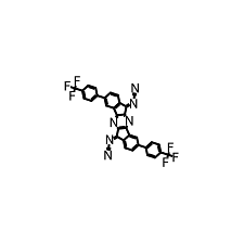 N#C/N=c1\c2ccc(-c3ccc(C(F)(F)F)cc3)cc2c2nc3/c(=N/C#N)c4ccc(-c5ccc(C(F)(F)F)cc5)cc4c3nc12